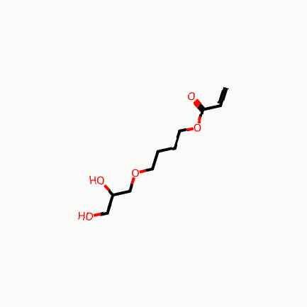 C=CC(=O)OCCCCOCC(O)CO